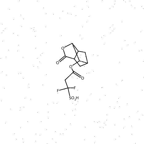 O=C(CC(F)(F)S(=O)(=O)O)OC1C2CC3C(=O)OC1C3C2